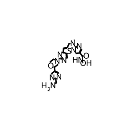 CN(Cc1cc2nc(N3CCOC(c4cnc(CN)nc4)C3)ncc2s1)c1ncc(C(=O)NO)cn1